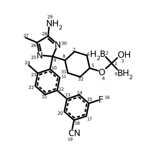 BC(B)(O)OC1CCC(C2(c3cc(-c4cc(F)cc(C#N)c4)ccc3C)N=C(C)C(N)=N2)CC1